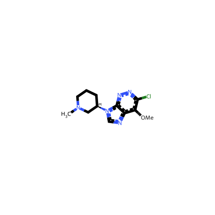 COc1c(Cl)nnc2c1ncn2[C@@H]1CCCN(C)C1